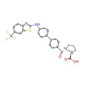 O=C(O)[C@@H]1CCC[C@H]1C(=O)c1ccc(-c2ccc(Nc3nc4ccc(C(F)(F)F)cc4s3)cc2)cc1